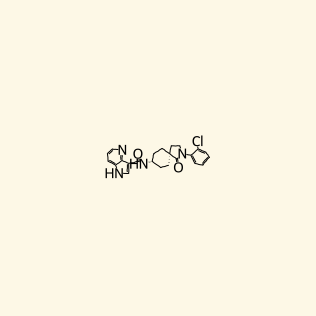 O=C(N[C@H]1CC[C@@]2(CCN(c3ccccc3Cl)C2=O)CC1)c1c[nH]c2cccnc12